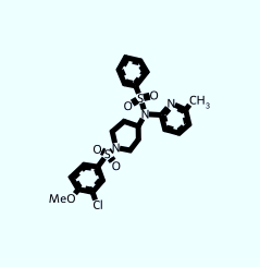 COc1ccc(S(=O)(=O)N2CCC(N(c3cccc(C)n3)S(=O)(=O)c3ccccc3)CC2)cc1Cl